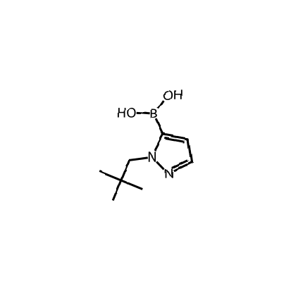 CC(C)(C)Cn1nccc1B(O)O